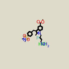 COC(=O)c1ccc2c(c1)c(Cc1ccc(S(=O)(=O)N(C)C)cc1)c(C)n2C/C(F)=C/CN.Cl